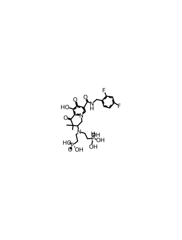 CC1(C)C(=O)c2c(O)c(=O)c(C(=O)NCc3ccc(F)cc3F)cn2CC1N(CCP(=O)(O)O)CC[PH](O)(O)O